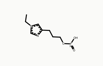 CCn1cnc(CCCO[PH](=O)O)c1